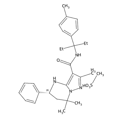 CCC(CC)(NC(=O)c1c(C)nn2c1N[C@@H](c1ccccc1)CC2(C)C)c1ccc(C)cc1.CS(=O)(=O)O